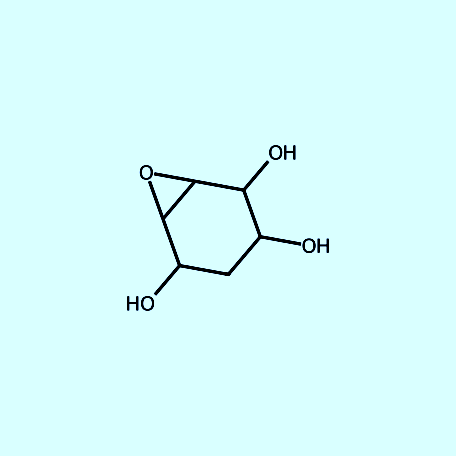 OC1CC(O)C2OC2C1O